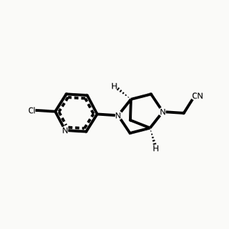 N#CCN1C[C@H]2C[C@@H]1CN2c1ccc(Cl)nc1